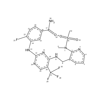 CN(c1ncccc1CNc1nc(Nc2cc(C(N)=O)ccc2F)ncc1C(F)(F)F)S(C)(=O)=O